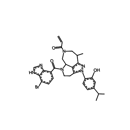 C=CC(=O)N1CC(C)c2nn(-c3ccc(C(C)C)cc3O)c3c2C(C1)N(C(=O)c1ccc(Br)c2[nH]cnc12)CC3